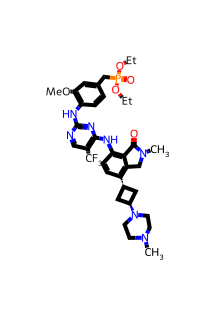 CCOP(=O)(Cc1ccc(Nc2ncc(C(F)(F)F)c(Nc3ccc([C@H]4C[C@H](N5CCN(C)CC5)C4)c4c3C(=O)N(C)C4)n2)c(OC)c1)OCC